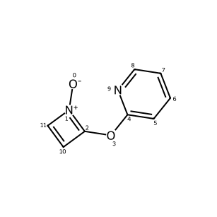 [O-][N+]1=C(Oc2ccccn2)C=C1